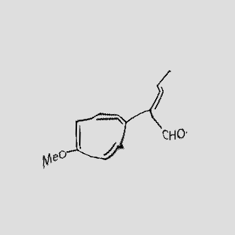 CC=C([C]=O)c1ccc(OC)cc1